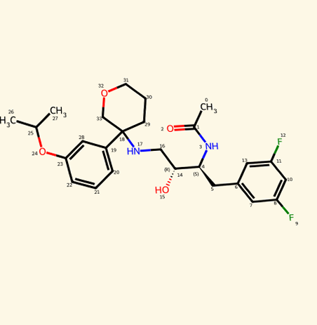 CC(=O)N[C@@H](Cc1cc(F)cc(F)c1)[C@H](O)CNC1(c2cccc(OC(C)C)c2)CCCOC1